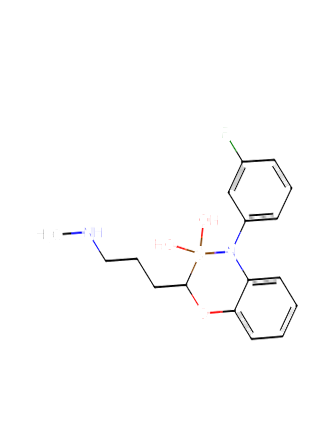 CNCCCC1Oc2ccccc2N(c2cccc(F)c2)S1(O)O